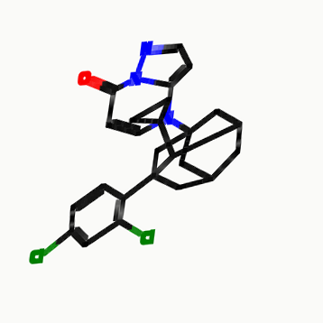 O=c1ccn(C23CC4CC(C2)C(C2CC2)C(c2ccc(Cl)cc2Cl)(C4)C3)c2ccnn12